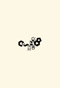 [O-][n+]1nc(NCCN2CCCCC2)[n+]([O-])c2ccc3c(c21)CCC3